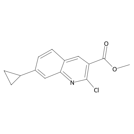 COC(=O)c1cc2ccc(C3CC3)cc2nc1Cl